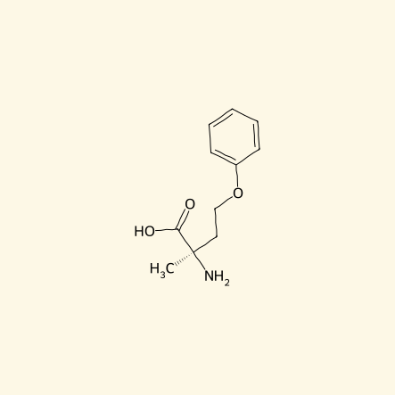 C[C@@](N)(CCOc1ccccc1)C(=O)O